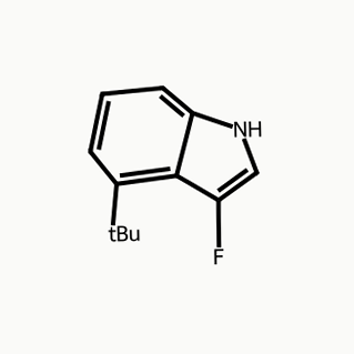 CC(C)(C)c1cccc2[nH]cc(F)c12